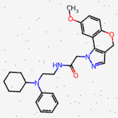 COc1ccc2c(c1)-c1c(cnn1CC(=O)NCCN(c1ccccc1)C1CCCCC1)CO2